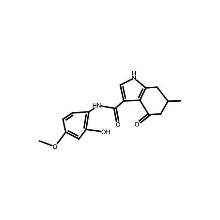 COc1ccc(NC(=O)c2c[nH]c3c2C(=O)CC(C)C3)c(O)c1